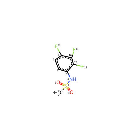 [CH2]S(=O)(=O)Nc1ccc(F)c(F)c1F